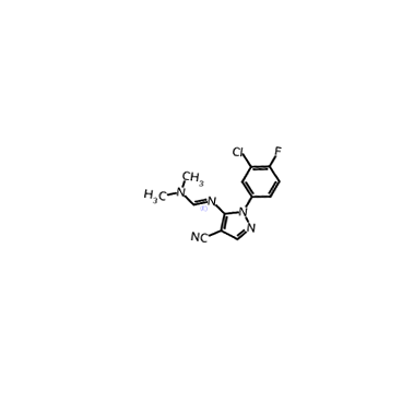 CN(C)/C=N/c1c(C#N)cnn1-c1ccc(F)c(Cl)c1